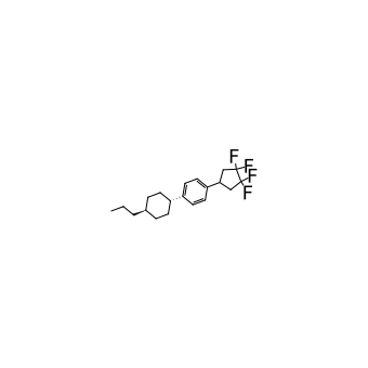 CCC[C@H]1CC[C@H](c2ccc(C3CC(F)(F)C(F)(F)C3)cc2)CC1